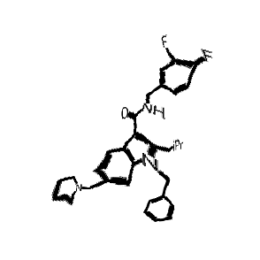 CC(C)c1c(C(=O)NCc2ccc(F)c(F)c2)c2ccc(CN3CCCC3)cc2n1Cc1ccccc1